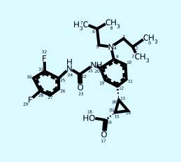 CC(C)CN(CC(C)C)c1ccc([C@@H]2C[C@@H]2C(=O)O)cc1NC(=O)Nc1ccc(F)cc1F